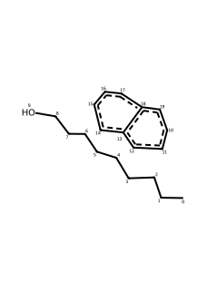 CCCCCCCCCO.c1ccc2ccccc2c1